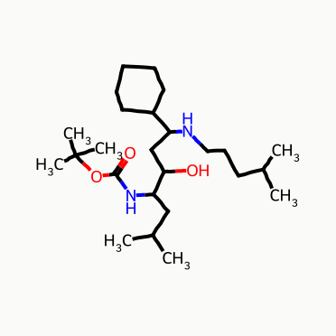 CC(C)CCCNC(CC(O)C(CC(C)C)NC(=O)OC(C)(C)C)C1CCCCC1